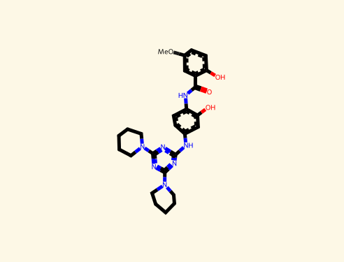 COc1ccc(O)c(C(=O)Nc2ccc(Nc3nc(N4CCCCC4)nc(N4CCCCC4)n3)cc2O)c1